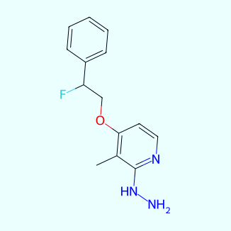 Cc1c(OCC(F)c2ccccc2)ccnc1NN